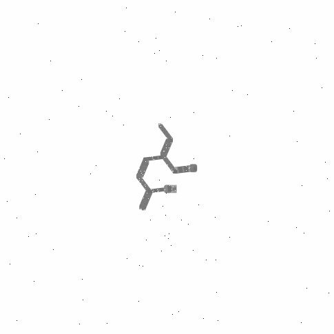 C=C(O)/C=C\C(C=O)=C/C